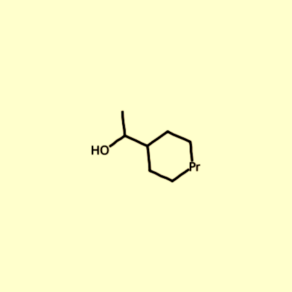 CC(O)C1C[CH2][Pr][CH2]C1